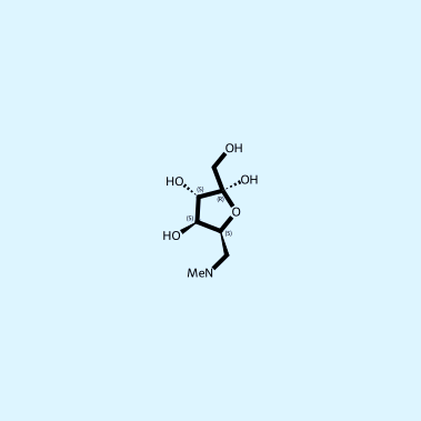 CNC[C@@H]1O[C@](O)(CO)[C@@H](O)[C@@H]1O